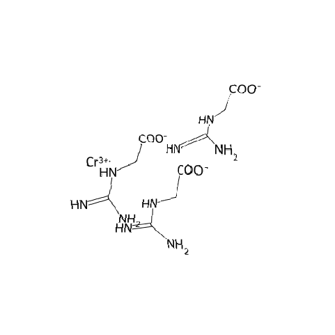 N=C(N)NCC(=O)[O-].N=C(N)NCC(=O)[O-].N=C(N)NCC(=O)[O-].[Cr+3]